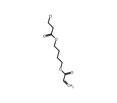 C=CC(=O)OCCCCOC(=O)CCCl